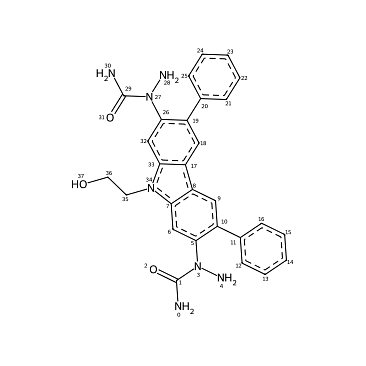 NC(=O)N(N)c1cc2c(cc1-c1ccccc1)c1cc(-c3ccccc3)c(N(N)C(N)=O)cc1n2CCO